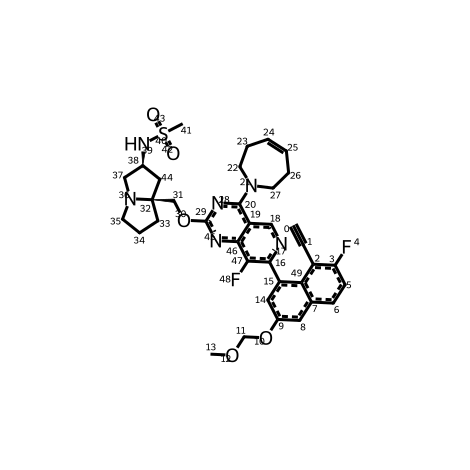 C#Cc1c(F)ccc2cc(OCOC)cc(-c3ncc4c(N5CCC=CCC5)nc(OC[C@@]56CCCN5C[C@@H](NS(C)(=O)=O)C6)nc4c3F)c12